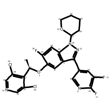 C[C@@H](Oc1cc2c(-c3cnc(F)c(F)c3)nn(C3CCCCO3)c2cc1F)c1c(Cl)cncc1Cl